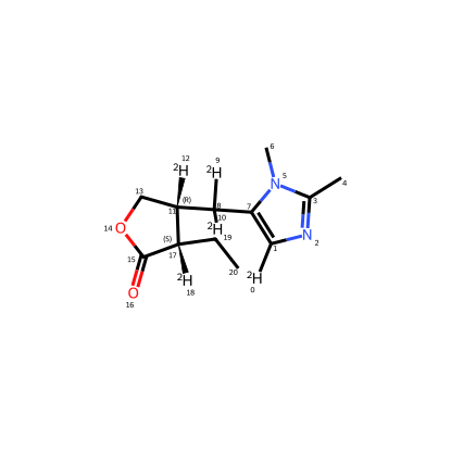 [2H]c1nc(C)n(C)c1C([2H])([2H])[C@@]1([2H])COC(=O)[C@@]1([2H])CC